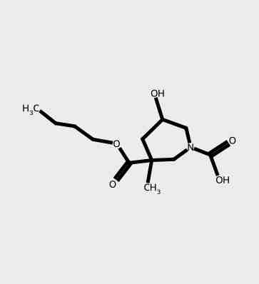 CCCCOC(=O)C1(C)CC(O)CN(C(=O)O)C1